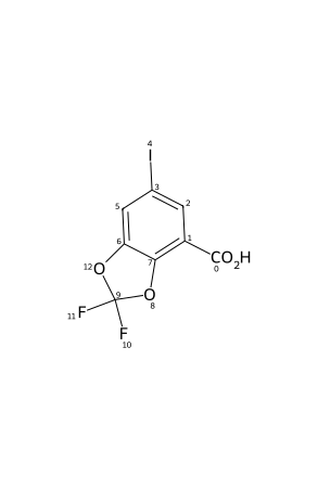 O=C(O)c1cc(I)cc2c1OC(F)(F)O2